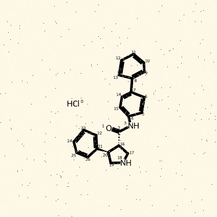 Cl.O=C(Nc1ccc(-c2ccccc2)cc1)[C@@H]1CNC[C@H]1c1ccccc1